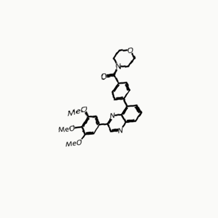 COc1cc(-c2cnc3cccc(-c4ccc(C(=O)N5CCOCC5)cc4)c3n2)cc(OC)c1OC